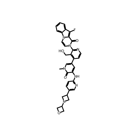 Cn1cc(-c2ccnc(-n3ccn4c(c(F)c5ccccc54)c3=O)c2CO)cc(Nc2ccc(C3CN(C4COC4)C3)cn2)c1=O